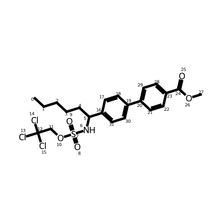 CCCCCC(NS(=O)(=O)OCC(Cl)(Cl)Cl)c1ccc(-c2ccc(C(=O)OC)cc2)cc1